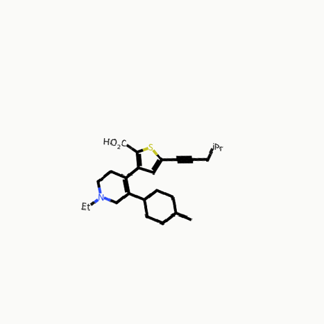 CCN1CCC(c2cc(C#CCC(C)C)sc2C(=O)O)=C(C2CCC(C)CC2)C1